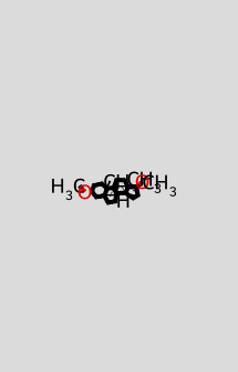 COC1CC[C@@]2(C)C(CC[C@@H]3[C@@H]2CC[C@]2(C)C(OC)CC[C@@H]32)C1